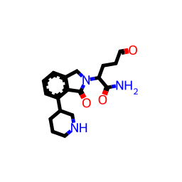 NC(=O)C(CCC=O)N1Cc2cccc(C3CCCNC3)c2C1=O